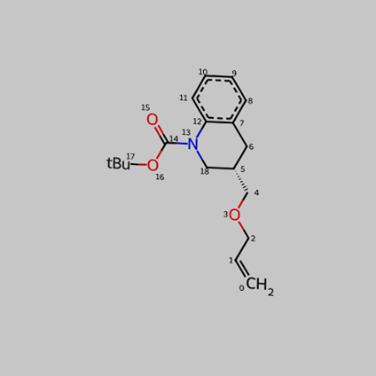 C=CCOC[C@H]1Cc2ccccc2N(C(=O)OC(C)(C)C)C1